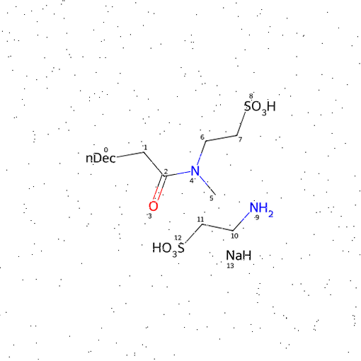 CCCCCCCCCCCC(=O)N(C)CCS(=O)(=O)O.NCCS(=O)(=O)O.[NaH]